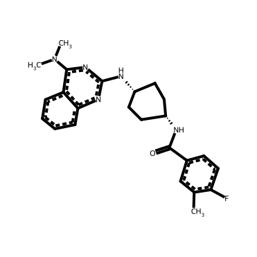 Cc1cc(C(=O)N[C@H]2CC[C@@H](Nc3nc(N(C)C)c4ccccc4n3)CC2)ccc1F